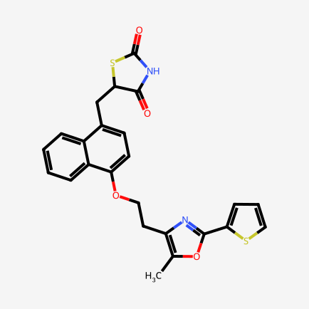 Cc1oc(-c2cccs2)nc1CCOc1ccc(CC2SC(=O)NC2=O)c2ccccc12